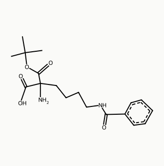 CC(C)(C)OC(=O)C(N)(CCCCNC(=O)c1ccccc1)C(=O)O